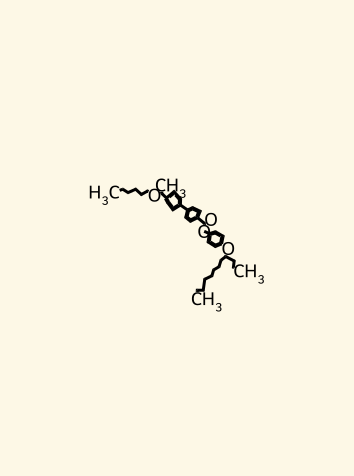 CCCCCCCCC(CCC)Oc1ccc(OC(=O)c2ccc(-c3ccc(C(C)OCCCCCC)cc3)cc2)cc1